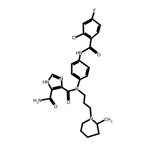 CC1CCCCN1CCCN(C(=O)c1nc[nH]c1C(N)=O)c1ccc(NC(=O)c2ccc(F)cc2Cl)cc1